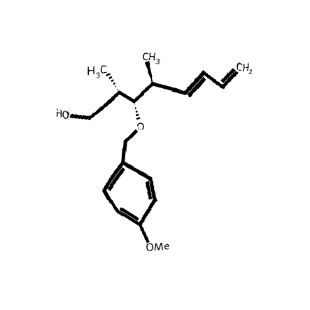 C=CC=C[C@H](C)[C@H](OCc1ccc(OC)cc1)[C@@H](C)CO